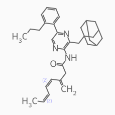 C=C(/C=C\C=C/C)CC(=O)Nc1ncc(-c2ccccc2CCC)nc1CC12CC3CC(CC(C3)C1)C2